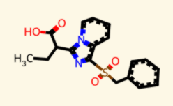 CCC(C(=O)O)c1nc(S(=O)(=O)Cc2ccccc2)c2ccccn12